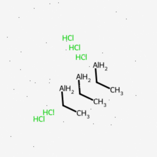 C[CH2][AlH2].C[CH2][AlH2].C[CH2][AlH2].Cl.Cl.Cl.Cl.Cl